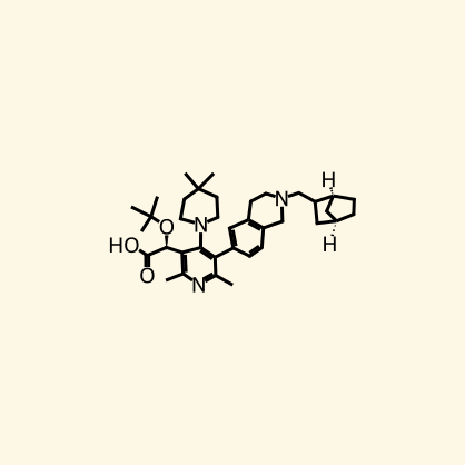 Cc1nc(C)c([C@H](OC(C)(C)C)C(=O)O)c(N2CCC(C)(C)CC2)c1-c1ccc2c(c1)CCN(CC1C[C@@H]3CC[C@H]1C3)C2